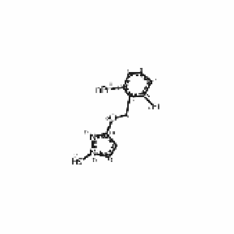 CCCc1cccc(CC)c1COc1ccn(S)n1